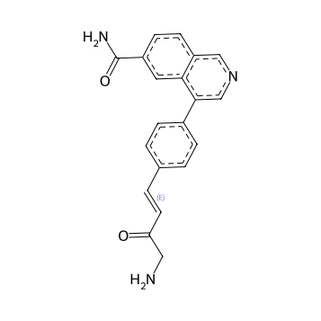 NCC(=O)/C=C/c1ccc(-c2cncc3ccc(C(N)=O)cc23)cc1